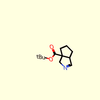 CC(C)(C)OC(=O)C12CCCC1C=NC2